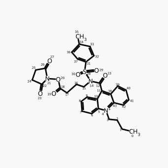 CCCC[n+]1c2ccccc2c(C(=O)N(CCCC(=O)ON2C(=O)CCC2=O)S(=O)(=O)c2ccc(C)cc2)c2ccccc21